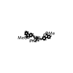 COC(=O)c1ccccc1-c1ccc(CSc2nc(CC(C)C)n(SCc3ccc(-c4ccccc4C(=O)OC)cc3)n2)cc1